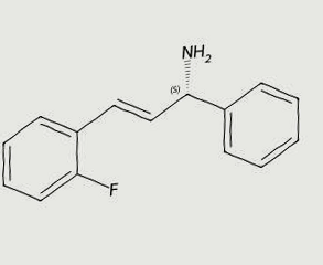 N[C@@H](C=Cc1ccccc1F)c1ccccc1